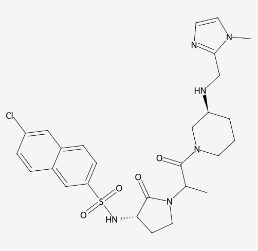 CC(C(=O)N1CCC[C@H](NCc2nccn2C)C1)N1CC[C@H](NS(=O)(=O)c2ccc3cc(Cl)ccc3c2)C1=O